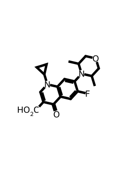 CC1COCC(C)N1c1cc2c(cc1F)c(=O)c(C(=O)O)cn2C1CC1